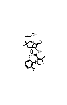 CC1=C(C(=O)N[C@@H]2C(=O)N3[C@@H]2SC(C)(C)[C@@H]3C(=O)O)N(c2c(Cl)cccc2Cl)CO1